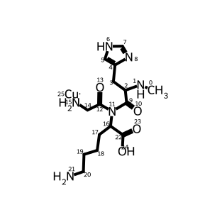 CNC(Cc1c[nH]cn1)C(=O)N(C(=O)CN)C(CCCCN)C(=O)O.[Cu]